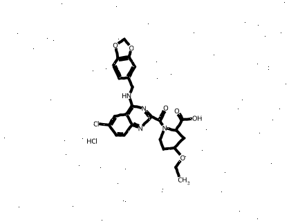 CCOC1CCN(C(=O)c2nc(NCc3ccc4c(c3)OCO4)c3cc(Cl)ccc3n2)C(C(=O)O)C1.Cl